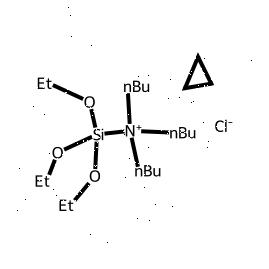 C1CC1.CCCC[N+](CCCC)(CCCC)[Si](OCC)(OCC)OCC.[Cl-]